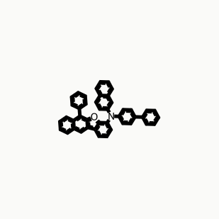 c1ccc(-c2ccc(N(c3ccc4ccccc4c3)c3cccc4c3oc3c(-c5ccccc5)c5ccccc5cc34)cc2)cc1